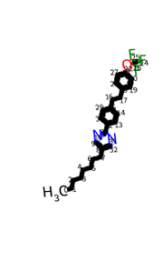 CCCCCCCCc1cnc(-c2ccc(CCc3ccc(OC(F)(F)F)cc3)cc2)nc1